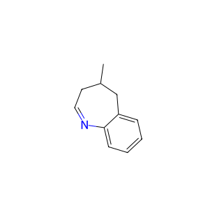 CC1CC=Nc2ccccc2C1